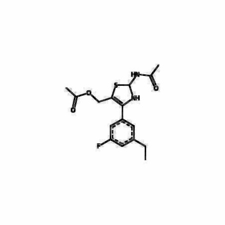 CCc1cc(F)cc(C2=C(COC(C)=O)SC(NC(C)=O)N2)c1